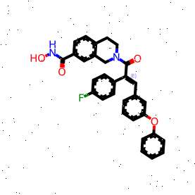 O=C(NO)c1ccc2c(c1)CN(C(=O)/C(=C/c1cccc(Oc3ccccc3)c1)c1ccc(F)cc1)CC2